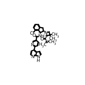 CN(C)C(=O)[C@H]1N([C@@H]2Cc3cccc(Cl)c3[C@H]2NC(=O)c2ccc(-c3ccnc4[nH]ccc34)nc2)CC1(C)C